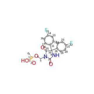 CP(=O)(O)OCN1C(=O)NC(c2ccc(F)cc2)(c2ccc(F)cc2)C1=O